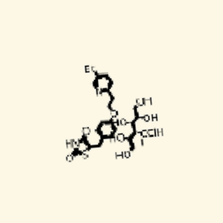 CCc1ccc(CCOc2ccc(CC3SC(=O)NC3=O)cc2)nc1.Cl.OC[C@@H](O)[C@@H](O)[C@H](O)[C@H](O)CO